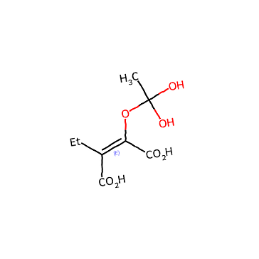 CC/C(C(=O)O)=C(\OC(C)(O)O)C(=O)O